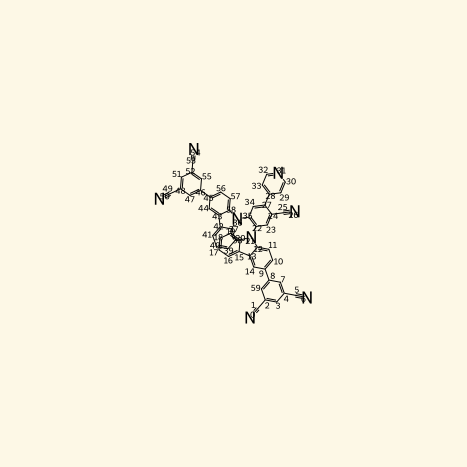 N#Cc1cc(C#N)cc(-c2ccc3c(c2)c2ccccc2n3-c2cc(C#N)c(-c3ccncc3)cc2-n2c3ccccc3c3cc(-c4cc(C#N)cc(C#N)c4)ccc32)c1